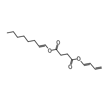 C=CC=COC(=O)CCC(=O)OC=CCCCCCC